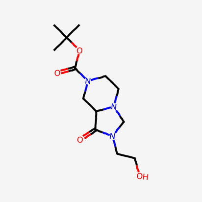 CC(C)(C)OC(=O)N1CCN2CN(CCO)C(=O)C2C1